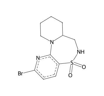 O=S1(=O)NCC2CCCCN2c2nc(Br)ccc21